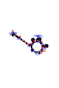 Cn1cc(C[C@@H]2NC(=O)[C@@H](Cc3ccccc3)NC(=O)[C@@H](CCCNC(=N)N)NC(=O)[C@@H](Cc3ccccc3)NC(=O)[C@@H](NC(=O)COCCOCCOCCNC(=O)CCCC[C@@H]3SC[C@@H]4NC(=O)N[C@@H]43)Cc3cn(nn3)CCCC[C@@H](C(N)=O)NC(=O)[C@@H](CO)NC2=O)c2ccccc21